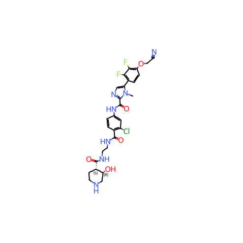 Cn1c(-c2ccc(OCC#N)c(F)c2F)cnc1C(=O)Nc1ccc(C(=O)NCCNC(=O)[C@H]2CCNC[C@@H]2O)c(Cl)c1